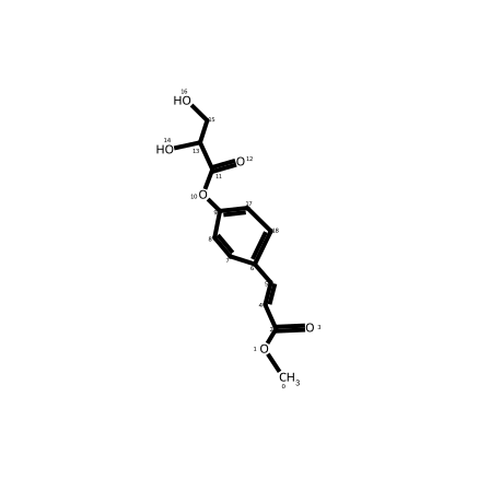 COC(=O)C=Cc1ccc(OC(=O)C(O)CO)cc1